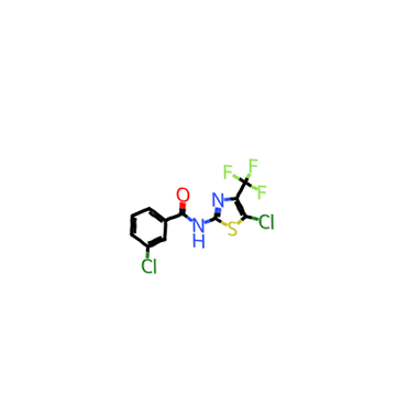 O=C(Nc1nc(C(F)(F)F)c(Cl)s1)c1cccc(Cl)c1